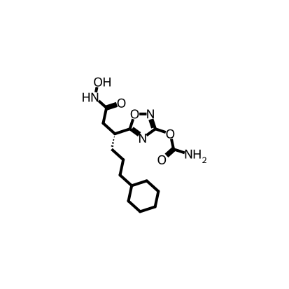 NC(=O)Oc1noc([C@H](CCCC2CCCCC2)CC(=O)NO)n1